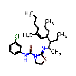 CCCCC(C)=CC(CCC)C(CC)C(C)N=C1SCCN1C(=S)Nc1cccc(Cl)c1